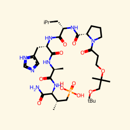 CC(C)C[C@H](NC(=O)[C@@H]1CCCN1C(=O)CCOC(C)(C)COC(C)(C)C)C(=O)N[C@@H](Cc1cnc[nH]1)C(=O)N[C@@H](C)C(=O)N[C@H](C(N)=O)[C@@H](C)CP(=O)(O)O